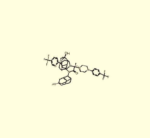 C[C@](C(=O)N(C1C2CC3CC1CC(O)(C3)C2)C1C2CC3CC1CC(O)(C3)C2)(N1CCN(c2ccc(C(F)(F)F)cc2)CC1)N1CCN(c2ccc(C(F)(F)F)cn2)CC1